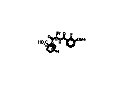 COc1cccc(C(=O)N[C@H](C(=O)N2C[C@@H]3CC[C@@]2(C(=O)O)C3)C(C)C)c1F